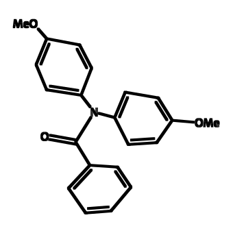 COc1ccc(N(C(=O)c2ccccc2)c2ccc(OC)cc2)cc1